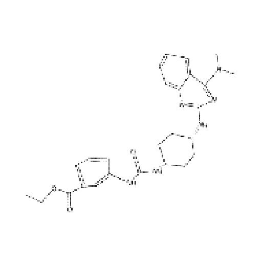 CCOC(=O)c1cccc(NC(=O)N[C@H]2CC[C@@H](Nc3nc(N(C)C)c4ccccc4n3)CC2)c1